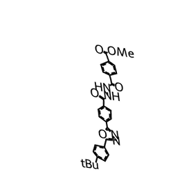 COC(=O)c1ccc(C(=O)NNC(=O)c2ccc(-c3nnc(-c4ccc(C(C)(C)C)cc4)o3)cc2)cc1